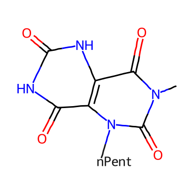 CCCCCn1c(=O)n(C)c(=O)c2[nH]c(=O)[nH]c(=O)c21